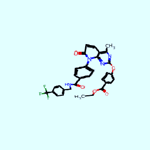 CCOC(=O)c1ccc(Oc2nc(C)c3ccc(=O)n(-c4ccc(C(=O)NCc5ccc(C(F)(F)F)cc5)cc4)c3n2)cc1